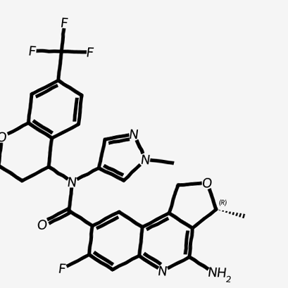 C[C@H]1OCc2c1c(N)nc1cc(F)c(C(=O)N(c3cnn(C)c3)C3CCOc4cc(C(F)(F)F)ccc43)cc21